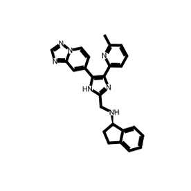 Cc1cccc(-c2nc(CN[C@@H]3CCc4ccccc43)[nH]c2-c2ccn3ncnc3c2)n1